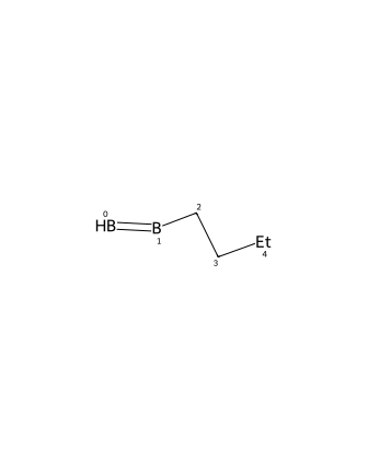 B=BCCCC